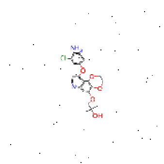 CC(C)(O)COc1cc2nccc(Oc3ccc(N)c(Cl)c3)c2c2c1OCCO2